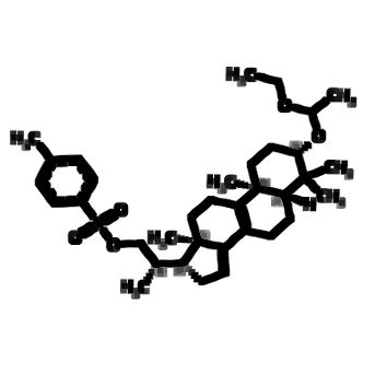 CCOC(C)O[C@H]1CC[C@]2(C)C3=C(CC[C@H]2C1(C)C)C1=CC[C@H]([C@H](C)COS(=O)(=O)c2ccc(C)cc2)[C@@]1(C)CC3